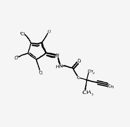 C#CC(C)(C)OC(=O)NN=C1C(Cl)=C(Cl)C(Cl)=C1Cl